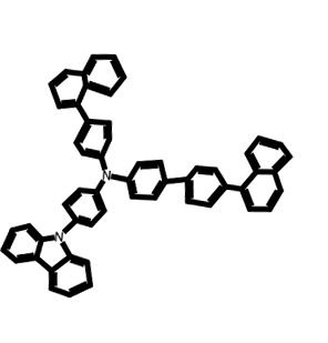 c1ccc2c(-c3ccc(-c4ccc(N(c5ccc(-c6cccc7ccccc67)cc5)c5ccc(-n6c7ccccc7c7ccccc76)cc5)cc4)cc3)cccc2c1